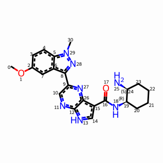 COc1ccc2c(c1)c(-c1cnc3[nH]cc(C(=O)N[C@@H]4CCCC[C@@H]4N)c3n1)nn2C